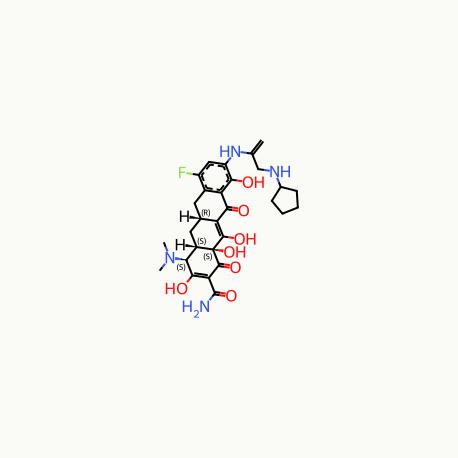 C=C(CNC1CCCC1)Nc1cc(F)c2c(c1O)C(=O)C1=C(O)[C@]3(O)C(=O)C(C(N)=O)=C(O)[C@@H](N(C)C)[C@@H]3C[C@@H]1C2